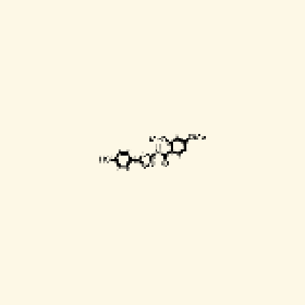 COc1ccc(C(=O)Nc2nnc(-c3ccc(O)cc3)o2)c(OC)c1